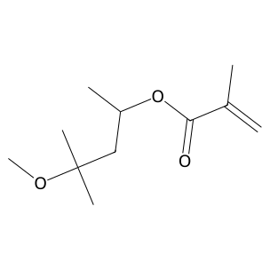 C=C(C)C(=O)OC(C)CC(C)(C)OC